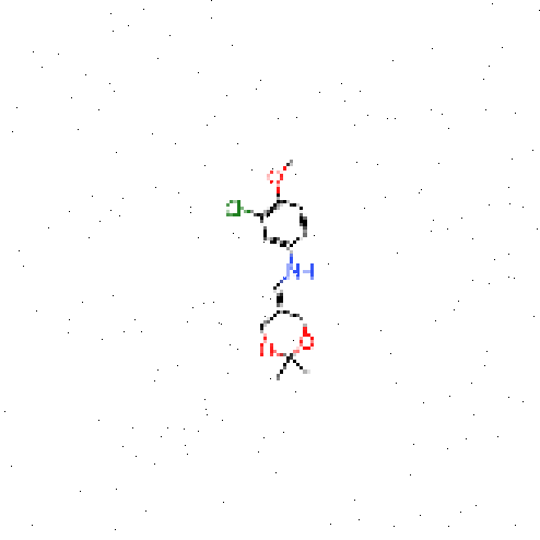 COc1ccc(NC=C2COC(C)(C)OC2)cc1Cl